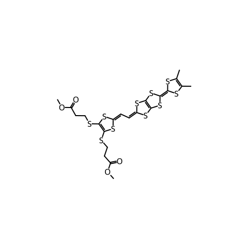 COC(=O)CCSC1=C(SCCC(=O)OC)SC(=CC=C2SC3=C(S2)SC(=C2SC(C)=C(C)S2)S3)S1